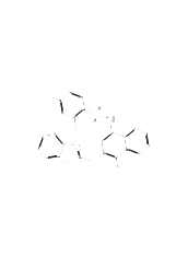 O=S(=O)(Nc1cc(Sc2nc3ccccc3s2)c(O)c2ccccc12)c1ccc(F)cc1F